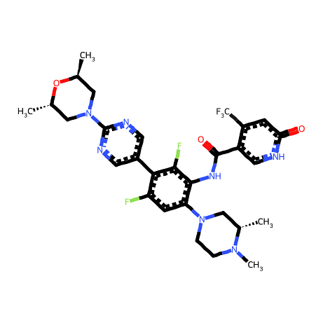 C[C@H]1CN(c2ncc(-c3c(F)cc(N4CCN(C)[C@@H](C)C4)c(NC(=O)c4c[nH]c(=O)cc4C(F)(F)F)c3F)cn2)C[C@H](C)O1